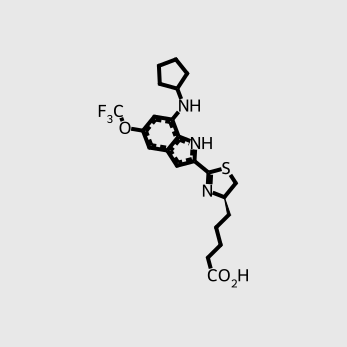 O=C(O)CCCC[C@@H]1CSC(c2cc3cc(OC(F)(F)F)cc(NC4CCCC4)c3[nH]2)=N1